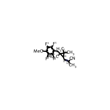 COc1c(F)c(F)c(C[C@@]2(C(=O)O)C(/C=C(/C)C#N)C2(C)C)c(F)c1F